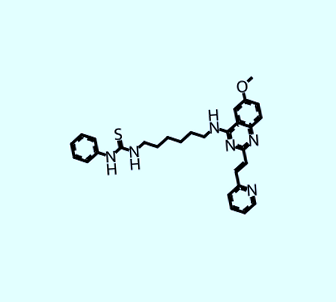 COc1ccc2nc(C=Cc3ccccn3)nc(NCCCCCCNC(=S)Nc3ccccc3)c2c1